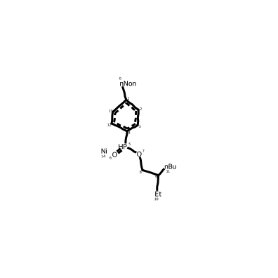 CCCCCCCCCc1ccc([PH](=O)OCC(CC)CCCC)cc1.[Ni]